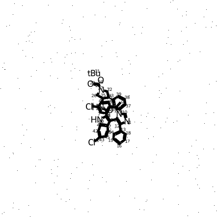 CC(c1ccc(Cl)cc1)n1cnc(-c2ccccc2)c1-c1c(C(=O)NC2CN(C(=O)OC(C)(C)C)C[C@H]2c2ccccc2)[nH]c2cc(Cl)ccc12